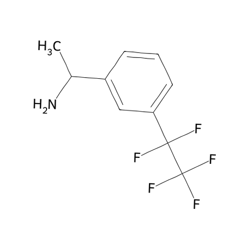 CC(N)c1cccc(C(F)(F)C(F)(F)F)c1